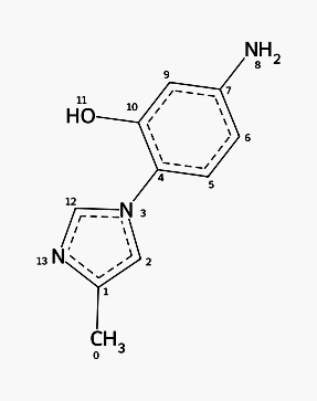 Cc1cn(-c2ccc(N)cc2O)cn1